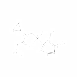 NCC(=O)N(CC(F)(F)c1cccc(Cl)c1F)C1CC1